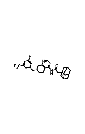 O=C(CC12CC3CC(CC(C3)C1)C2)Nc1ncnc2c1CCN(Cc1cc(F)cc(C(F)(F)F)c1)C2